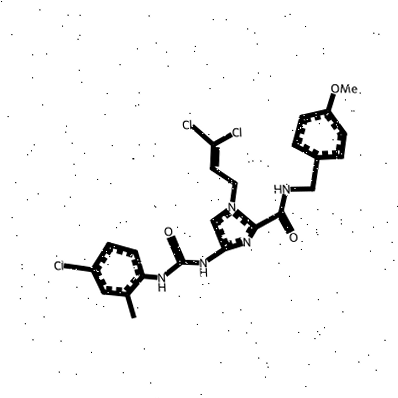 COc1ccc(CNC(=O)c2nc(NC(=O)Nc3ccc(Cl)cc3C)cn2CC=C(Cl)Cl)cc1